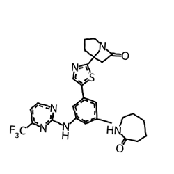 Cc1cc(Nc2nccc(C(F)(F)F)n2)cc(-c2cnc(C34CCCN3C(=O)C4)s2)c1.O=C1CCCCCN1